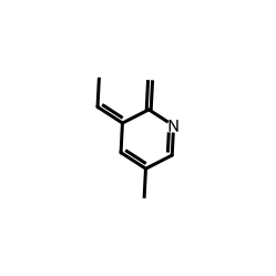 C=c1ncc(C)c/c1=C/C